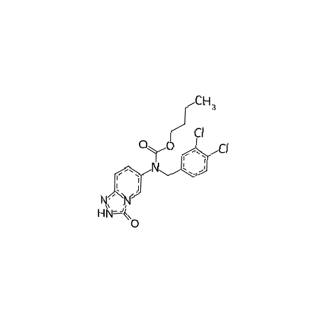 CCCCOC(=O)N(Cc1ccc(Cl)c(Cl)c1)c1ccc2n[nH]c(=O)n2c1